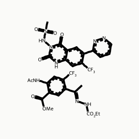 CCOC(=O)N/N=C(\C)c1cc(C(=O)OC)c(NC(C)=O)cc1C(F)(F)F.CS(=O)(=O)Nn1c(=O)[nH]c2cc(C(F)(F)F)c(-c3cccnn3)cc2c1=O